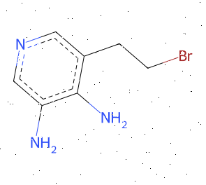 Nc1cncc(CCBr)c1N